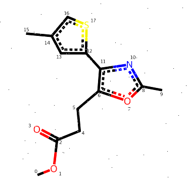 COC(=O)CCc1oc(C)nc1-c1cc(C)cs1